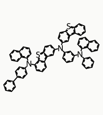 c1ccc(-c2ccc(N(c3cccc4ccccc34)c3cccc4c3sc3ccc(N(c5cccc(N(c6ccccc6)c6cccc7ccccc67)c5)c5ccc6sc7ccccc7c6c5)cc34)cc2)cc1